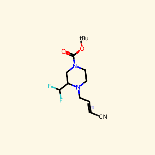 CC(C)(C)OC(=O)N1CCN(C/C=C/C#N)C(C(F)F)C1